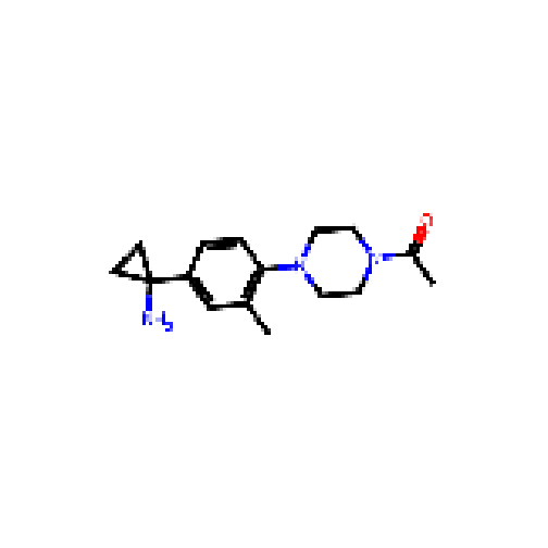 CC(=O)N1CCN(c2ccc(C3(N)CC3)cc2C)CC1